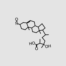 CC(CCC(C)(O)C(C)C(=O)O)C1CCC2C3CC=C4CC(N=O)CCC4(C)C3CCC12C